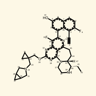 C#Cc1c(F)ccc2cc(O)cc(-c3nc4c5c(nc(OCC6(CN7CC8CC8C7)CC6)nc5c3F)N3CCN[C@@H](CC)[C@H]3CC4)c12